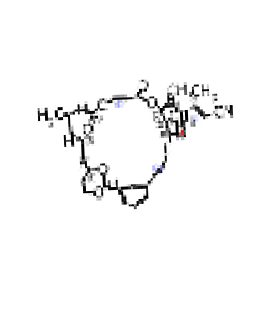 C=C1C[C@@H]2C[C@@H]3CCO[C@@H](O3)c3cccc(c3)/C=C\C[C@H]3O[C@@H](/C(C)=C/C#N)[C@H](C)[C@@H](OC(=O)/C=C/C[C@@H](C1)O2)[C@H]3C